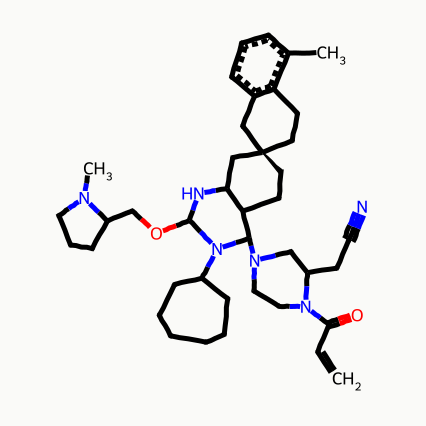 C=CC(=O)N1CCN(C2C3CC[C@@]4(CCc5c(C)cccc5C4)CC3NC(OCC3CCCN3C)N2C2CCCCCC2)CC1CC#N